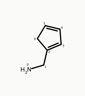 NCC1=CC=CC1